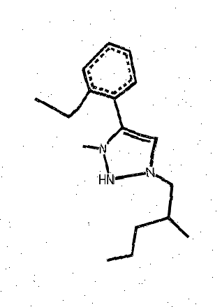 CCCC(C)CN1C=C(c2ccccc2CC)N(C)N1